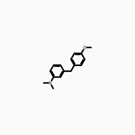 COc1ccc(Cc2cccc(N(C)C)c2)cc1